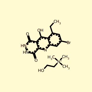 CCc1cc(Br)cc2nc3c(=O)[nH][nH]c(=O)c3c(O)c12.C[N+](C)(C)CCO